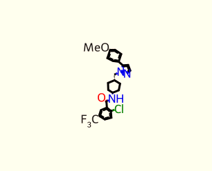 COc1ccc(-c2ccnn2C[C@H]2CC[C@H](NC(=O)c3cc(C(F)(F)F)ccc3Cl)CC2)cc1